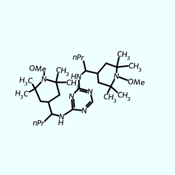 CCCC(Nc1ncnc(NC(CCC)C2CC(C)(C)N(OC)C(C)(C)C2)n1)C1CC(C)(C)N(OC)C(C)(C)C1